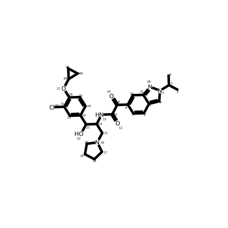 CC(C)n1cc2ccc(C(=O)C(=O)NC(CN3CCCC3)C(O)c3ccc(OC4CC4)c(Cl)c3)cc2n1